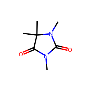 CN1C(=O)N(C)C(C)(C)C1=O